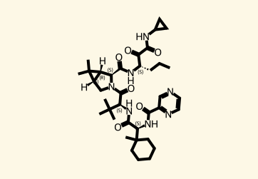 CCC[C@H](NC(=O)[C@@H]1[C@@H]2[C@H](CN1C(=O)[C@@H](NC(=O)[C@@H](NC(=O)c1cnccn1)C1(C)CCCCC1)C(C)(C)C)C2(C)C)C(=O)C(=O)NC1CC1